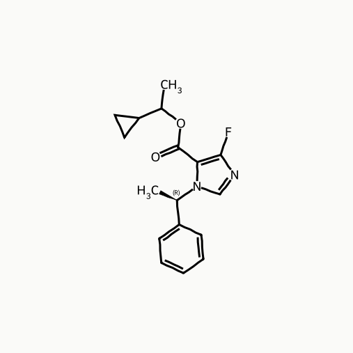 CC(OC(=O)c1c(F)ncn1[C@H](C)c1ccccc1)C1CC1